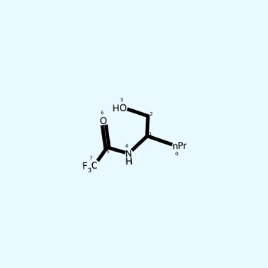 CCCC(CO)NC(=O)C(F)(F)F